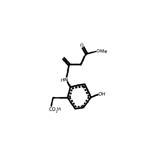 C=C(CC(=O)OC)Nc1cc(O)ccc1CC(=O)O